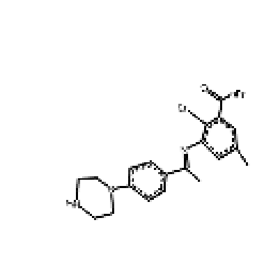 CCCC(=O)c1cc(C)cc(/N=C(\C)c2ccc(N3CCNCC3)cc2)c1CC